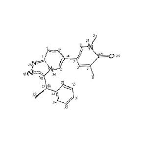 Cc1cc(-c2ccc3nnc([C@H](C)c4ccccc4)n3c2)cn(C)c1=O